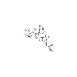 CC(=O)/C=C/CC(C1COC(C)(C)N1C(=O)OC(C)(C)C)(C(F)(F)F)C(F)(F)F